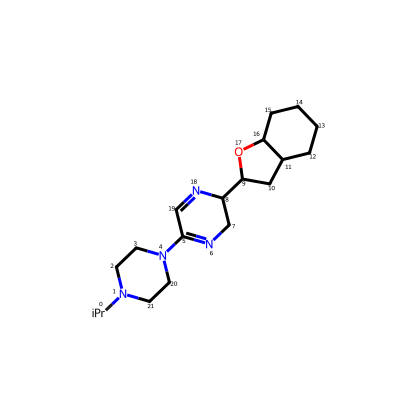 CC(C)N1CCN(C2=NCC(C3CC4CCCCC4O3)N=C2)CC1